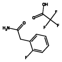 NC(=O)Cc1ccccc1F.O=C(O)C(F)(F)F